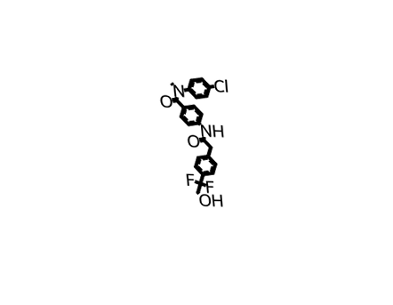 CN(C(=O)c1ccc(NC(=O)Cc2ccc(C(F)(F)CO)cc2)cc1)c1ccc(Cl)cc1